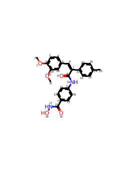 COc1ccc(C=C(C(=O)Nc2ccc(C(=O)NO)cc2)c2ccc(C)cc2)cc1OC